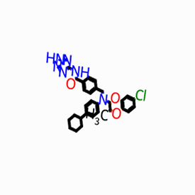 CC(Oc1ccc(Cl)cc1)C(=O)N(Cc1ccc(C(=O)Nc2nn[nH]n2)cc1)c1ccc(C2CCCCC2)cc1